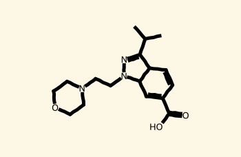 CC(C)C1=NN(CCN2CCOCC2)C2C=C(C(=O)O)C=CC12